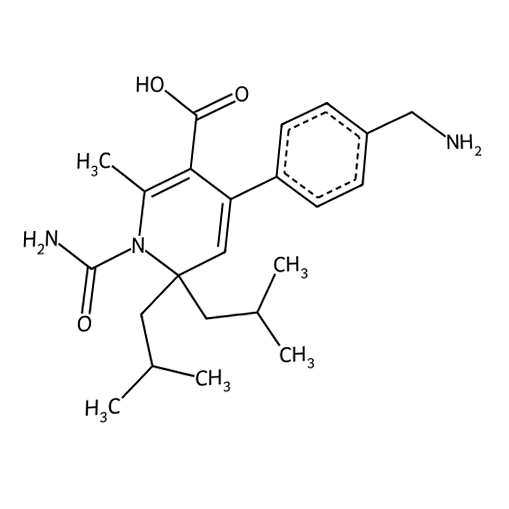 CC1=C(C(=O)O)C(c2ccc(CN)cc2)=CC(CC(C)C)(CC(C)C)N1C(N)=O